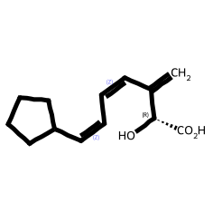 C=C(/C=C\C=C/C1CCCC1)[C@@H](O)C(=O)O